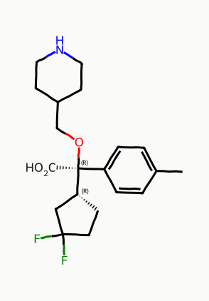 Cc1ccc([C@@](OCC2CCNCC2)(C(=O)O)[C@@H]2CCC(F)(F)C2)cc1